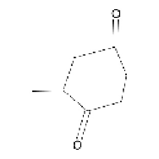 CC1CC(=O)CCC1=O